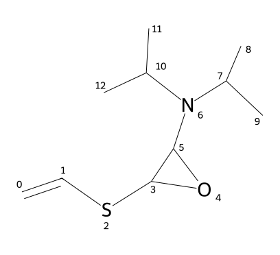 C=CSC1OC1N(C(C)C)C(C)C